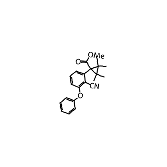 COC(=O)C1(c2cccc(Oc3ccccc3)c2C#N)C(C)(C)C1(C)C